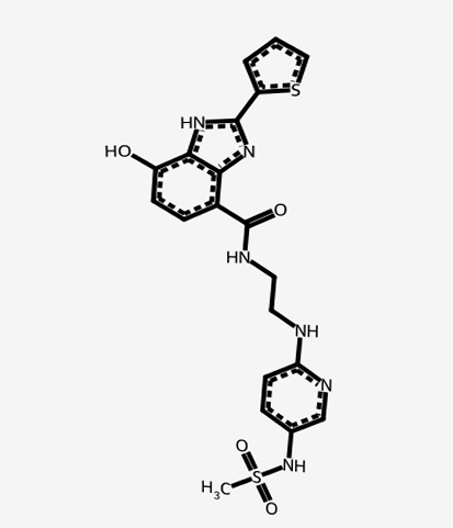 CS(=O)(=O)Nc1ccc(NCCNC(=O)c2ccc(O)c3[nH]c(-c4cccs4)nc23)nc1